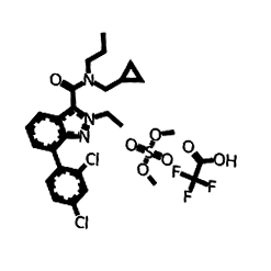 CCCN(CC1CC1)C(=O)c1c2cccc(-c3ccc(Cl)cc3Cl)c2nn1CC.COS(=O)(=O)OC.O=C(O)C(F)(F)F